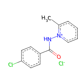 Cc1cccc[n+]1NC(=O)c1ccc(Cl)cc1.[Cl-]